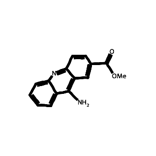 COC(=O)c1ccc2nc3ccccc3c(N)c2c1